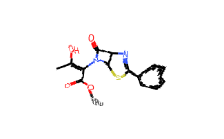 CC(O)=C(C(=O)OC(C)(C)C)N1C(=O)C2N=C(c3ccccc3)SC21